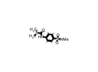 CNS(=O)(=O)c1ccc(NC(=O)N(C)C)cc1